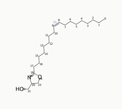 CCCCCCCC/C=C\CCCCCCCCC1=NC(CO)CO1